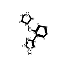 c1ccc(-c2c[nH]nn2)c(O[C@@H]2CCOC2)c1